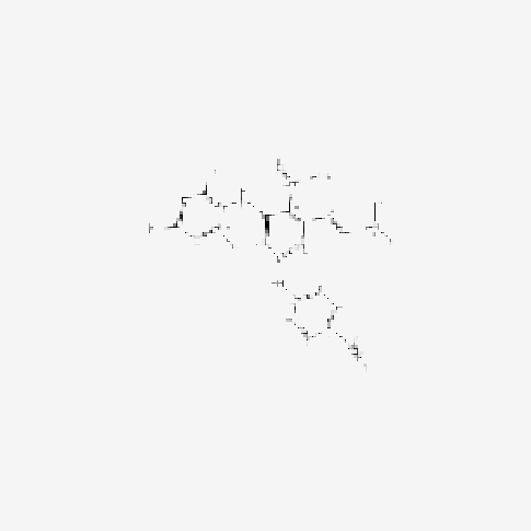 Bc1cc(C)c(Nc2nc(Nc3ccc(C#N)cc3)nc(/C=C/N(C)C)c2[N+](=O)[O-])c(C)c1